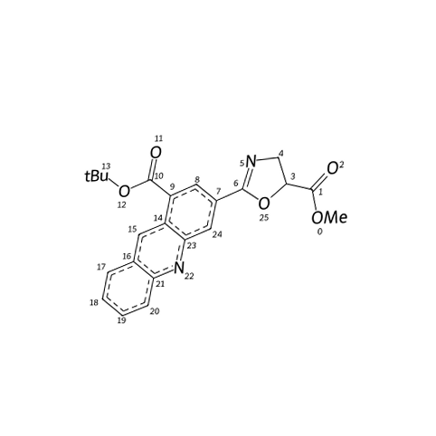 COC(=O)C1CN=C(c2cc(C(=O)OC(C)(C)C)c3cc4ccccc4nc3c2)O1